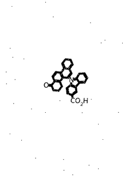 O=C(O)c1ccc2c(c1)C1=CC=CCC1=N2.O=C1CCCc2c1ccc1c3c(ccc21)=CCCC=3